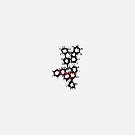 c1ccc(-c2cccc(-c3ccccc3N(c3ccc(-c4ccccc4-n4c5ccccc5c5ccccc54)cc3)c3ccccc3-c3cccc4c3oc3ccccc34)c2)cc1